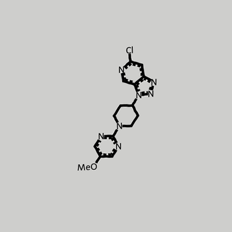 COc1cnc(N2CCC(n3nnc4cc(Cl)ncc43)CC2)nc1